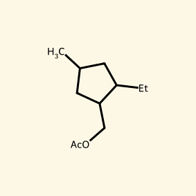 CCC1CC(C)CC1COC(C)=O